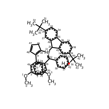 COc1cc(OC)cc(C2=[C]([Hf](=[C](c3ccccc3)c3ccccc3)[CH]3c4cc(C(C)(C)C)ccc4-c4ccc(C(C)(C)C)cc43)CC=C2)c1